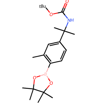 Cc1cc(C(C)(C)NC(=O)OC(C)(C)C)ccc1B1OC(C)(C)C(C)(C)O1